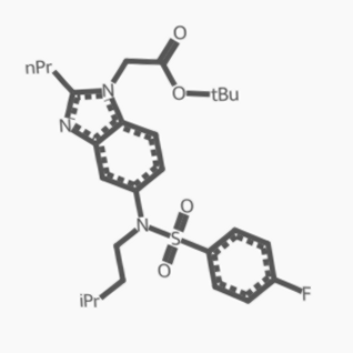 CCCc1nc2cc(N(CCC(C)C)S(=O)(=O)c3ccc(F)cc3)ccc2n1CC(=O)OC(C)(C)C